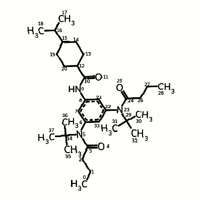 CCCC(=O)N(c1cc(NC(=O)C2CCC(C(C)C)CC2)cc(N(C(=O)CCC)C(C)(C)C)c1)C(C)(C)C